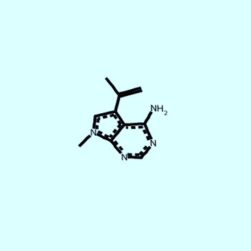 C=C(C)c1cn(C)c2ncnc(N)c12